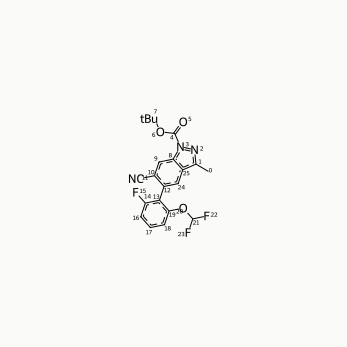 Cc1nn(C(=O)OC(C)(C)C)c2cc(C#N)c(-c3c(F)cccc3OC(F)F)cc12